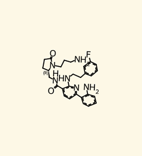 NCCCN1C(=O)CC[C@@H]1CNC(=O)c1ccc(-c2ccccc2N)nc1NCCc1cccc(F)c1